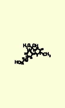 Cc1ccc(C(C)(O)c2ccc(OCCO)cc2)cc1